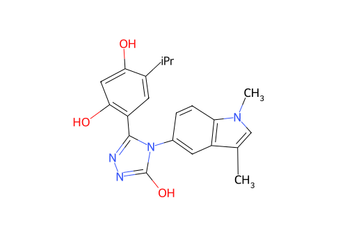 Cc1cn(C)c2ccc(-n3c(O)nnc3-c3cc(C(C)C)c(O)cc3O)cc12